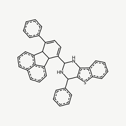 C1=C(c2ccccc2)C2c3cccc4cccc(c34)C2C(C2Nc3c(sc4ccccc34)C(c3ccccc3)N2)=C1